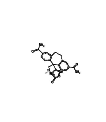 C[C@@H](N)CC1(c2nc(=O)o[nH]2)c2ccc(C(N)=O)cc2CCc2cc(C(N)=O)ccc21